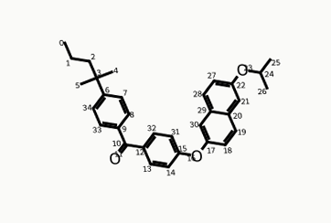 CCCC(C)(C)c1ccc(C(=O)c2ccc(Oc3ccc4cc(OC(C)C)ccc4c3)cc2)cc1